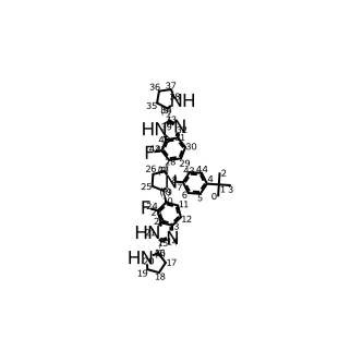 CC(C)(C)c1ccc(N2[C@@H](c3ccc4nc([C@@H]5CCCN5)[nH]c4c3F)CC[C@@H]2c2ccc3nc([C@@H]4CCCN4)[nH]c3c2F)cc1